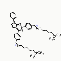 CN(C)CCCCC/N=C\c1ccc(-c2nc(-c3ccc(/C=N/CCCCCN(C)C)cc3)nc3c2ccn3-c2ccccc2)cc1